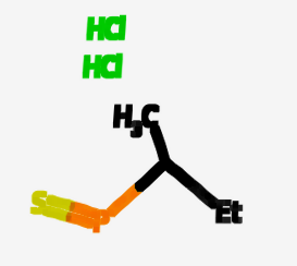 CCC(C)P=S.Cl.Cl